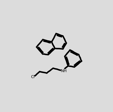 ClCCCNc1ccccc1.c1ccc2ccccc2c1